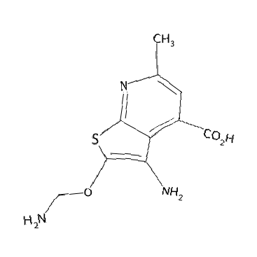 Cc1cc(C(=O)O)c2c(N)c(OCN)sc2n1